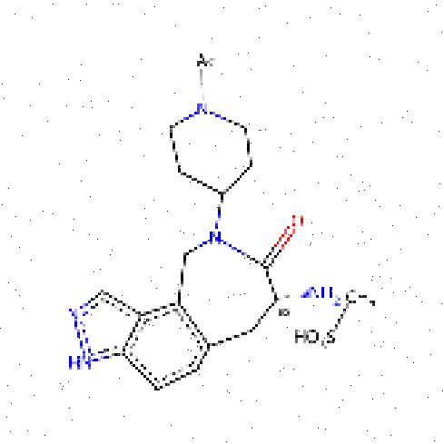 CC(=O)N1CCC(N2Cc3c(ccc4[nH]ncc34)C[C@@H](N)C2=O)CC1.CS(=O)(=O)O